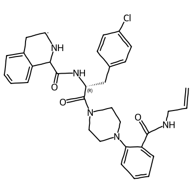 C=CCNC(=O)c1ccccc1N1CCN(C(=O)[C@@H](Cc2ccc(Cl)cc2)NC(=O)C2N[CH]Cc3ccccc32)CC1